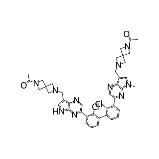 CC(=O)N1CC2(CN(Cc3c[nH]c4nc(-c5cccc(-c6cccc(-c7cnc8c(CN9CC%10(C9)CN(C(C)=O)C%10)cn(C)c8n7)c6Cl)c5Cl)cnc34)C2)C1